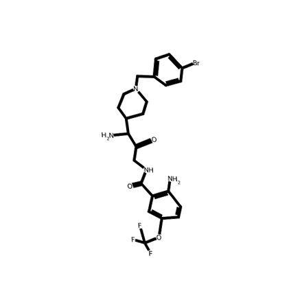 Nc1ccc(OC(F)(F)F)cc1C(=O)NCC(=O)C(N)C1CCN(Cc2ccc(Br)cc2)CC1